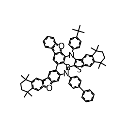 CC(C)(C)c1ccc(N2c3c(sc4cc5c(cc34)C(C)(C)CCC5(C)C)B3c4c(cc5c(oc6ccccc65)c42)-c2cc4c(cc2N3c2ccc(-c3ccccc3)cc2)oc2cc3c(cc24)C(C)(C)CCC3(C)C)cc1